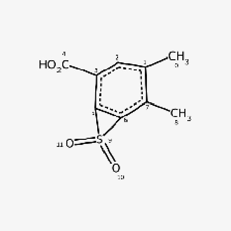 Cc1cc(C(=O)O)c2c(c1C)S2(=O)=O